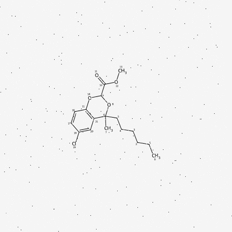 CCCCCCC1(C)OC(C(=O)OC)Oc2ccc(Cl)cc21